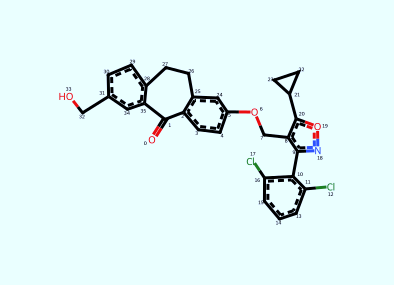 O=C1c2ccc(OCc3c(-c4c(Cl)cccc4Cl)noc3C3CC3)cc2CCc2ccc(CO)cc21